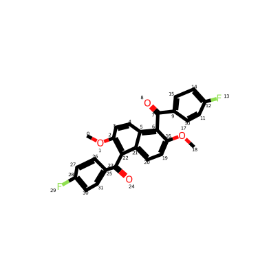 COc1ccc2c(C(=O)c3ccc(F)cc3)c(OC)ccc2c1C(=O)c1ccc(F)cc1